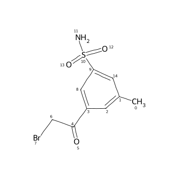 Cc1cc(C(=O)CBr)cc(S(N)(=O)=O)c1